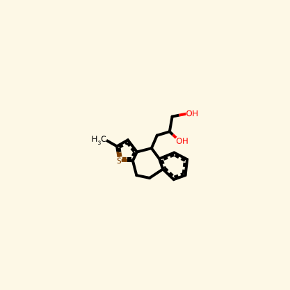 Cc1cc2c(s1)CCc1ccccc1C2CC(O)CO